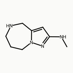 CNc1cc2n(n1)CCCNC2